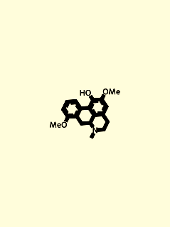 COc1cc2c3c(c1O)-c1cccc(OC)c1CC3N(C)CC2